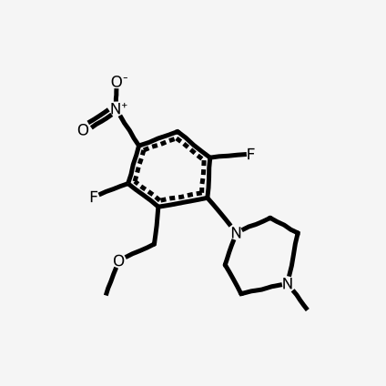 COCc1c(F)c([N+](=O)[O-])cc(F)c1N1CCN(C)CC1